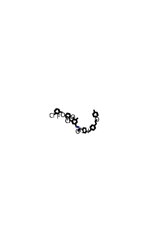 Cc1ccc(OCCc2ccc(CN3CCN(C(=O)/C=C/c4cc(C)c(Oc5ccc(OCc6cccc(Cl)c6F)cn5)c(Cl)c4)CC3)cc2)cc1